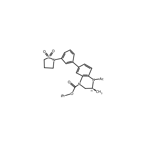 CC(=O)N1c2ccc(-c3cccc(N4CCCS4(=O)=O)c3)cc2N(C(=O)OC(C)C)C[C@@H]1C